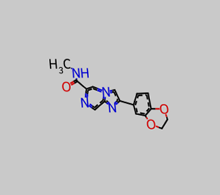 CNC(=O)c1cn2cc(-c3ccc4c(c3)OCCO4)nc2cn1